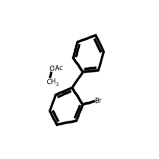 Brc1ccccc1-c1ccccc1.COC(C)=O